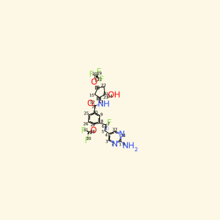 Nc1ncc(/C=C(\F)c2cc(C(=O)N[C@H]3C[C@H](OC(F)(F)F)C[C@@H]3O)ccc2OC(F)F)cn1